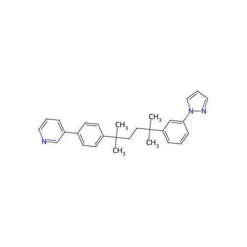 CC(C)(CCC(C)(C)c1cccc(-n2cccn2)c1)c1ccc(-c2cccnc2)cc1